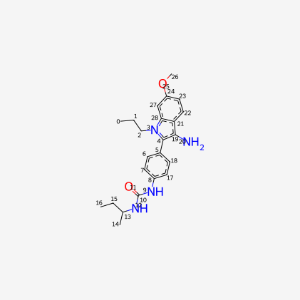 CCCn1c(-c2ccc(NC(=O)NC(C)CC)cc2)c(N)c2ccc(OC)cc21